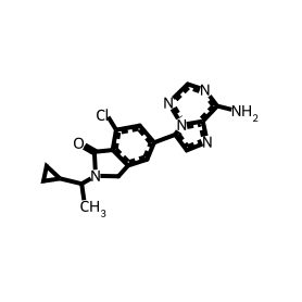 CC(C1CC1)N1Cc2cc(-c3cnc4c(N)ncnn34)cc(Cl)c2C1=O